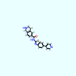 O=C(Nc1nc2ccc(-c3ccncc3)cc2s1)c1ccc2c(c1)CCNC2